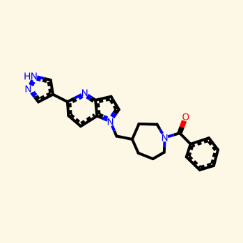 O=C(c1ccccc1)N1CCCC(Cn2ccc3nc(-c4cn[nH]c4)ccc32)CC1